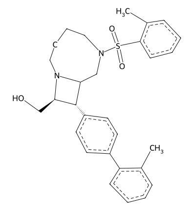 Cc1ccccc1-c1ccc([C@H]2C3CN(S(=O)(=O)c4ccccc4C)CCCCN3[C@@H]2CO)cc1